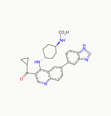 O=C(O)N[C@H]1CC[C@H](Nc2c(C(=O)C3CC3)cnc3ccc(-c4ccc5[nH]cnc5c4)cc23)CC1